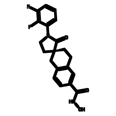 O=C(NO)c1ccc2c(c1)CC[C@]1(CCN(c3cccc(F)c3F)C1=O)C2